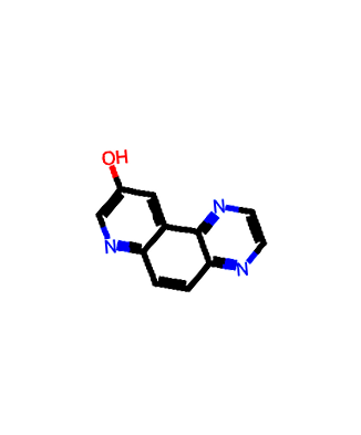 Oc1cnc2ccc3nccnc3c2c1